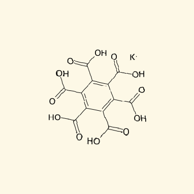 O=C(O)c1c(C(=O)O)c(C(=O)O)c(C(=O)O)c(C(=O)O)c1C(=O)O.[K]